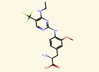 CCNc1nc(Nc2ccc(C[C@H](N)C(=O)O)cc2OC)ncc1C(F)(F)F